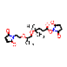 CC(COC(C)(C)CCC(=O)ON1C(=O)CCC1=O)OCCN1C(=O)C=CC1=O